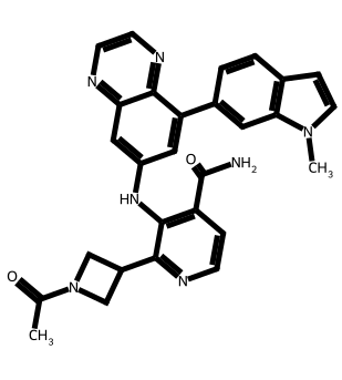 CC(=O)N1CC(c2nccc(C(N)=O)c2Nc2cc(-c3ccc4ccn(C)c4c3)c3nccnc3c2)C1